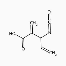 C=CC(N=C=O)C(=C)C(=O)O